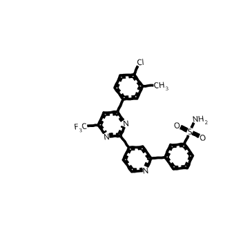 Cc1cc(-c2cc(C(F)(F)F)nc(-c3ccnc(-c4cccc(S(N)(=O)=O)c4)c3)n2)ccc1Cl